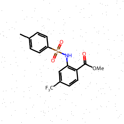 COC(=O)c1ccc(C(F)(F)F)cc1NS(=O)(=O)c1ccc(C)cc1